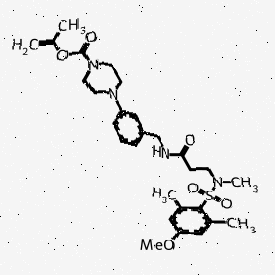 C=C(C)OC(=O)N1CCN(c2cccc(CNC(=O)CCN(C)S(=O)(=O)c3c(C)cc(OC)cc3C)c2)CC1